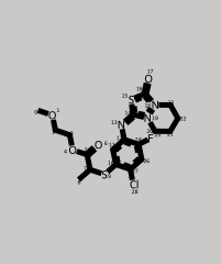 COCCOC(=O)C(C)Sc1cc(/N=c2/sc(=O)n3n2CCCC3)c(F)cc1Cl